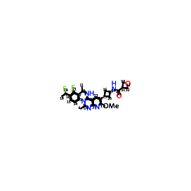 COc1nc2nc(C)nc(N[C@H](C)c3cccc(C(C)F)c3F)c2cc1[C@H]1C[C@@H](NC(=O)C2COC2)C1